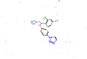 Clc1ccc(C(Cn2ccnc2)Oc2ccc(-n3ccnn3)cc2)c(Cl)c1